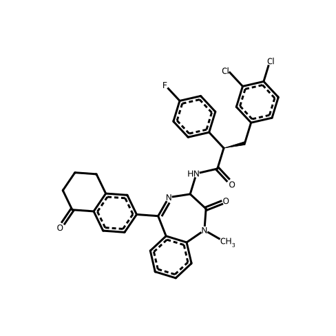 CN1C(=O)C(NC(=O)[C@H](Cc2ccc(Cl)c(Cl)c2)c2ccc(F)cc2)N=C(c2ccc3c(c2)CCCC3=O)c2ccccc21